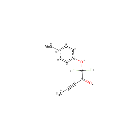 CC#CC(=O)C(F)(F)Oc1ccc(SC)cc1